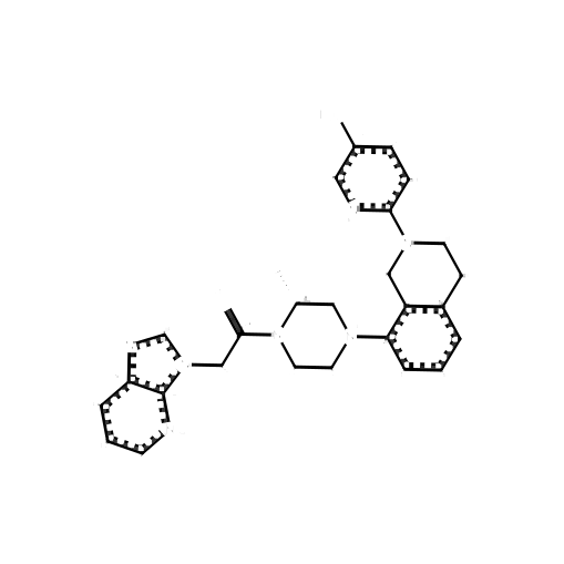 C[C@@H]1CN(c2cccc3c2CN(c2ccc(C(F)(F)F)cn2)CC3)CCN1C(=O)Cn1cnc2cccnc21